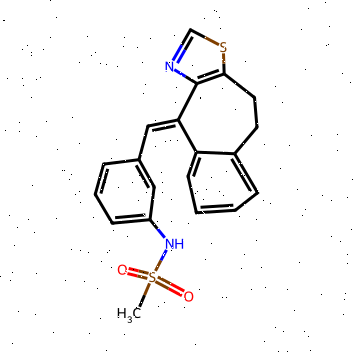 CS(=O)(=O)Nc1cccc(/C=C2\c3ccccc3CCc3scnc32)c1